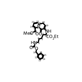 CCOC(=O)C(CCCCNC(=O)OCc1ccccc1)NC1=CCN2C=CC=C(C(=O)OC)N2C1=O